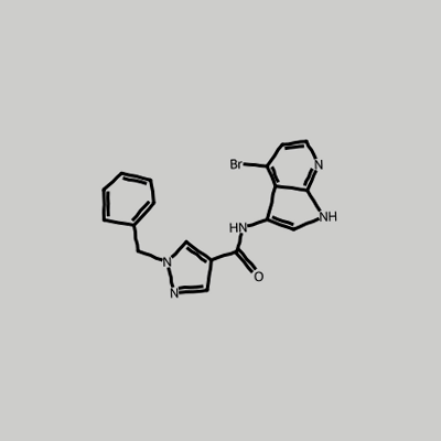 O=C(Nc1c[nH]c2nccc(Br)c12)c1cnn(Cc2ccccc2)c1